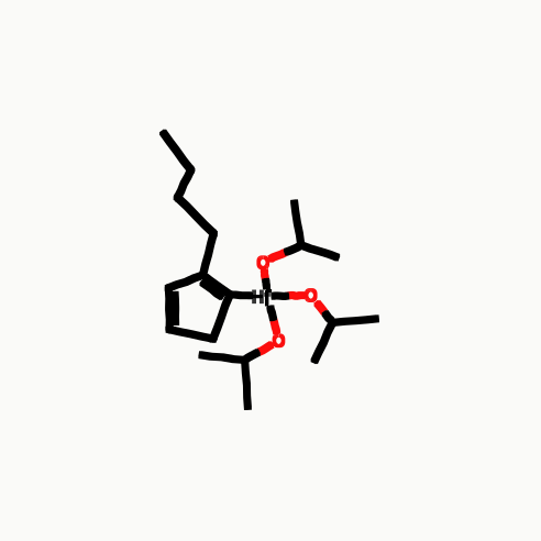 CCCCC1=[C]([Hf]([O]C(C)C)([O]C(C)C)[O]C(C)C)CC=C1